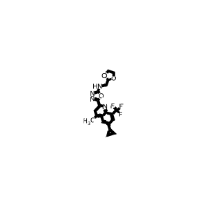 Cc1cc(-c2nnc(NCC3OCCO3)o2)nc2c(C(F)(F)F)cc(C3CC3)cc12